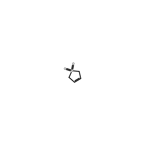 O=S1(=O)[C]C=CC1